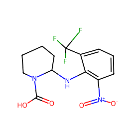 O=C(O)N1CCCCC1Nc1c([N+](=O)[O-])cccc1C(F)(F)F